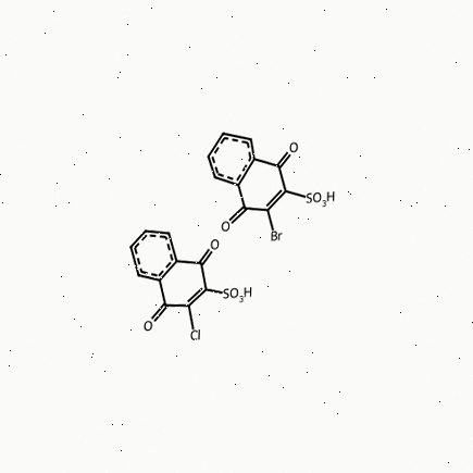 O=C1C(Br)=C(S(=O)(=O)O)C(=O)c2ccccc21.O=C1C(Cl)=C(S(=O)(=O)O)C(=O)c2ccccc21